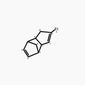 CCC1=CC2C3C=CC(C3)C2C1